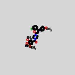 COc1ccc(/C(=C/C(=O)N2CCN(C(=O)c3cc(OC)c(OC)c(OC)c3)CC2)c2cccc(F)c2)cc1